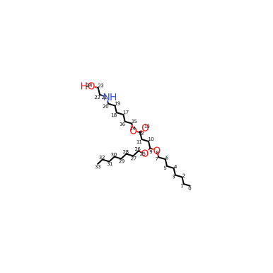 CCCCCCCCOC(CCC(=O)OCCCCCCNCCO)OCCCCCCCC